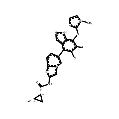 Cn1ccnc1Sc1c(F)c(Cl)c(-c2ccc3nc(NC(=O)[C@@H]4C[C@@H]4F)cn3c2)c2cn[nH]c12